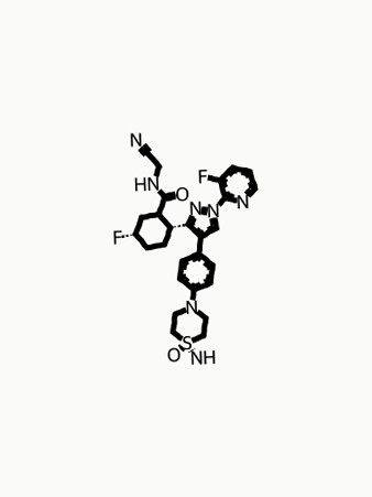 N#CCNC(=O)C1C[C@@H](F)CC[C@H]1c1nn(-c2ncccc2F)cc1-c1ccc(N2CCS(=N)(=O)CC2)cc1